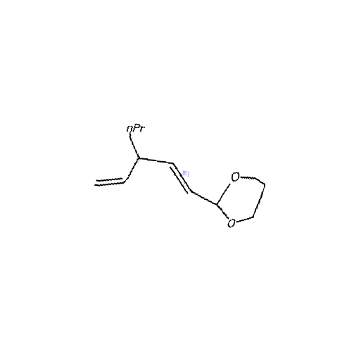 C=CC(/C=C/C1OCCO1)CCC